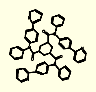 O=C(C1CC(C(=O)N(c2ccccc2)c2ccc(-c3ccccn3)cc2)CC(C(=O)N(c2ccccc2)c2ccc(-c3ccccn3)cc2)C1)N(c1ccccc1)c1ccc(-c2ccccn2)cc1